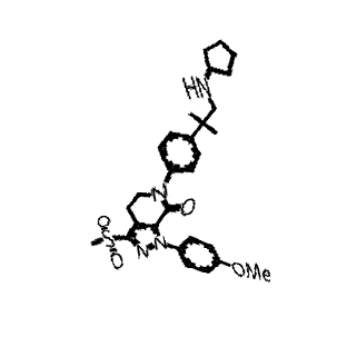 COc1ccc(-n2nc(S(C)(=O)=O)c3c2C(=O)N(c2ccc(C(C)(C)CNC4CCCC4)cc2)CC3)cc1